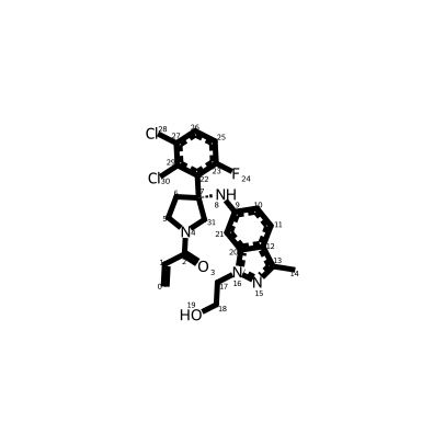 C=CC(=O)N1CC[C@@](Nc2ccc3c(C)nn(CCO)c3c2)(c2c(F)ccc(Cl)c2Cl)C1